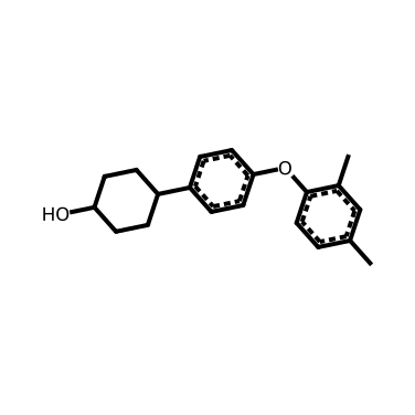 Cc1ccc(Oc2ccc(C3CCC(O)CC3)cc2)c(C)c1